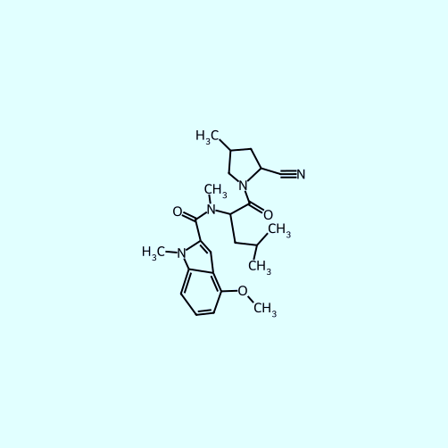 COc1cccc2c1cc(C(=O)N(C)C(CC(C)C)C(=O)N1CC(C)CC1C#N)n2C